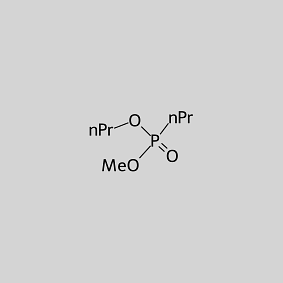 CCCOP(=O)(CCC)OC